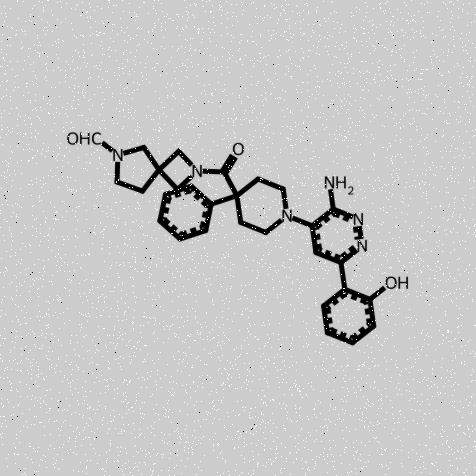 Nc1nnc(-c2ccccc2O)cc1N1CCC(C(=O)N2CC3(CCN(C=O)C3)C2)(c2ccccc2)CC1